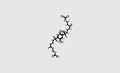 CCC(=O)OCCC(C)CCCC(C)(C)c1cc(OC)c(C(C)(C)CCCC(C)CCOC(=O)CC)cc1O